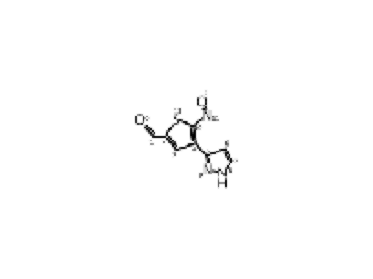 O=Cc1cc(-c2cc[nH]n2)c(N=O)s1